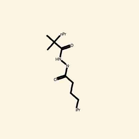 CCCC(C)(C)C(=O)N[N]C(=O)CCCC(C)C